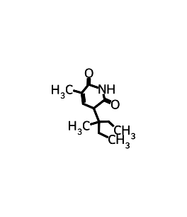 CCC(C)(CC)C1C=C(C)C(=O)NC1=O